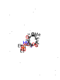 CCOP(=O)(CCCN[C@@H]1[C@@H](C)C(=O)[C@H](C)C[C@@](C)(OC)C[C@@H](C)C[C@@H](C)C(=O)O[C@H](I)[C@@]1(C)O)OCC